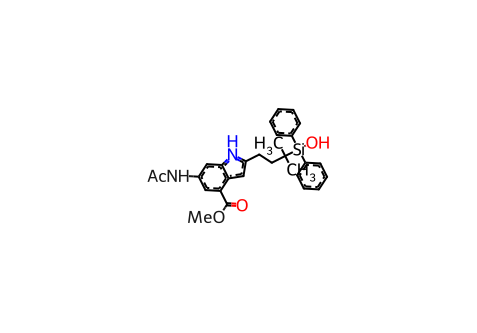 COC(=O)c1cc(NC(C)=O)cc2[nH]c(CCC(C)(C)[Si](O)(c3ccccc3)c3ccccc3)cc12